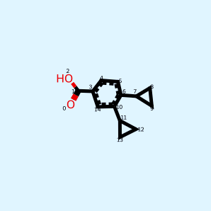 O=C(O)c1ccc(C2CC2)c(C2CC2)c1